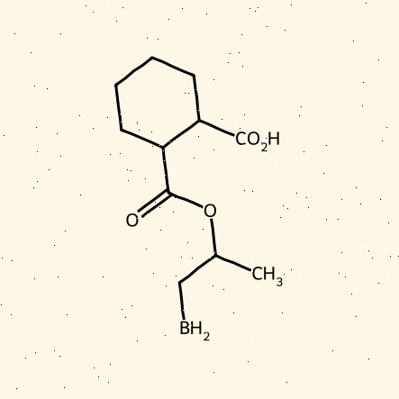 BCC(C)OC(=O)C1CCCCC1C(=O)O